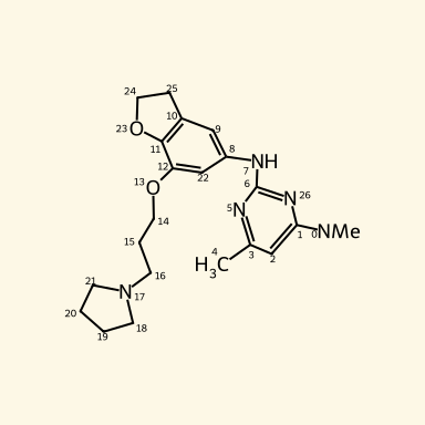 CNc1cc(C)nc(Nc2cc3c(c(OCCCN4CCCC4)c2)OCC3)n1